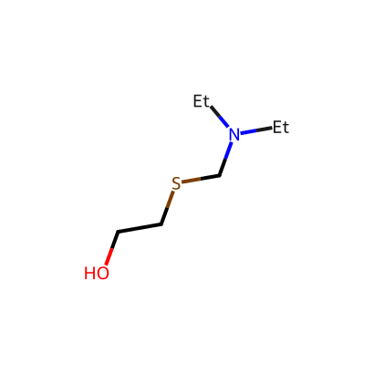 CCN(CC)CSCCO